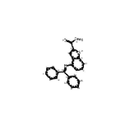 COC(=O)c1cc2c(N=C(c3ccccc3)c3ccccc3)cccc2s1